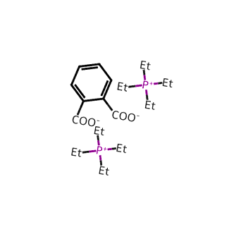 CC[P+](CC)(CC)CC.CC[P+](CC)(CC)CC.O=C([O-])c1ccccc1C(=O)[O-]